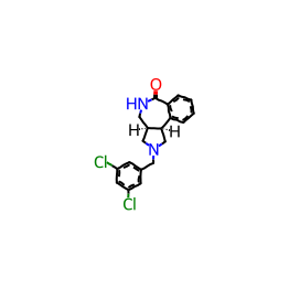 O=C1NC[C@@H]2CN(Cc3cc(Cl)cc(Cl)c3)C[C@@H]2c2ccccc21